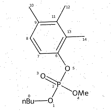 CCCCOP(=O)(OC)Oc1ccc(C)c(C)c1C